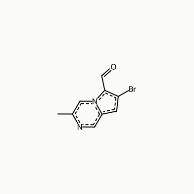 Cc1cn2c(C=O)c(Br)cc2cn1